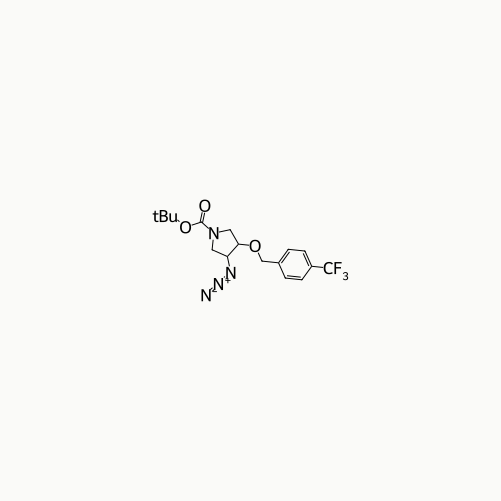 CC(C)(C)OC(=O)N1CC(N=[N+]=[N-])C(OCc2ccc(C(F)(F)F)cc2)C1